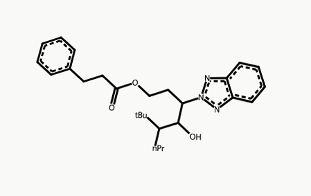 CCCC(C(O)C(CCOC(=O)CCc1ccccc1)n1nc2ccccc2n1)C(C)(C)C